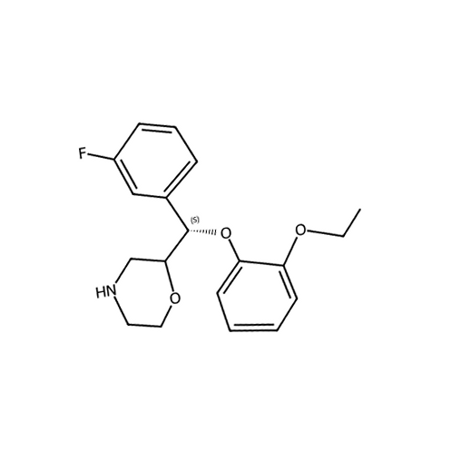 CCOc1ccccc1O[C@@H](c1cccc(F)c1)C1CNCCO1